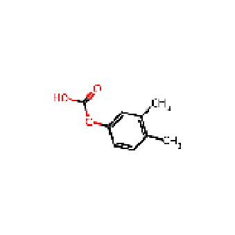 Cc1ccc(OC(=O)O)cc1C